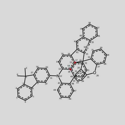 CC1(C)c2ccccc2-c2cc(N(c3ccc4c(c3)C3(c5ccccc5Oc5ccccc53)c3cc5ccccc5cc3-4)c3ccccc3-c3ccccc3)ccc21